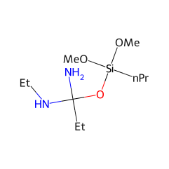 CCC[Si](OC)(OC)OC(N)(CC)NCC